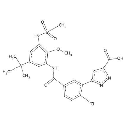 COc1c(NC(=O)c2ccc(Cl)c(-n3cc(C(=O)O)nn3)c2)cc(C(C)(C)C)cc1NS(C)(=O)=O